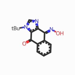 CC(C)(C)n1cnc2c1C(=O)c1ccccc1C2=NO